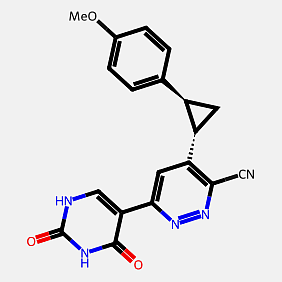 COc1ccc([C@H]2C[C@@H]2c2cc(-c3c[nH]c(=O)[nH]c3=O)nnc2C#N)cc1